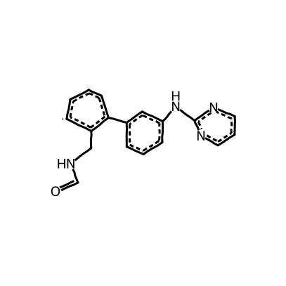 O=CNCc1[c]cccc1-c1cccc(Nc2ncccn2)c1